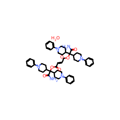 NC(=O)C(OC(=O)/C=C/C(=O)OC(C(N)=O)(C1CCN(c2ccccc2)CC1)C1CCN(c2ccccc2)CC1)(C1CCN(c2ccccc2)CC1)C1CCN(c2ccccc2)CC1.O